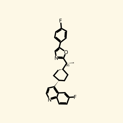 C[C@@H](c1ncc(-c2ccc(F)cc2)o1)[C@H]1CC[C@@H](c2ccnc3ccc(F)cc32)CC1